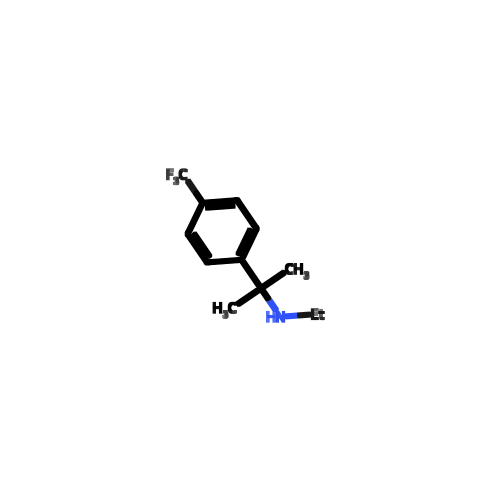 CCNC(C)(C)c1ccc(C(F)(F)F)cc1